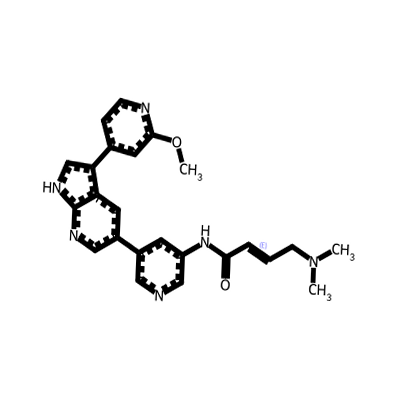 COc1cc(-c2c[nH]c3ncc(-c4cncc(NC(=O)/C=C/CN(C)C)c4)cc23)ccn1